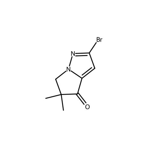 CC1(C)Cn2nc(Br)cc2C1=O